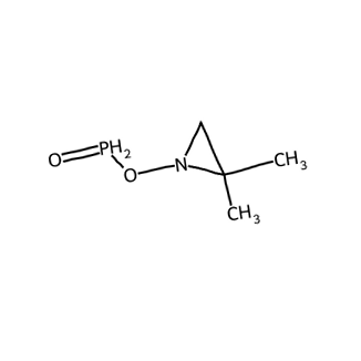 CC1(C)CN1O[PH2]=O